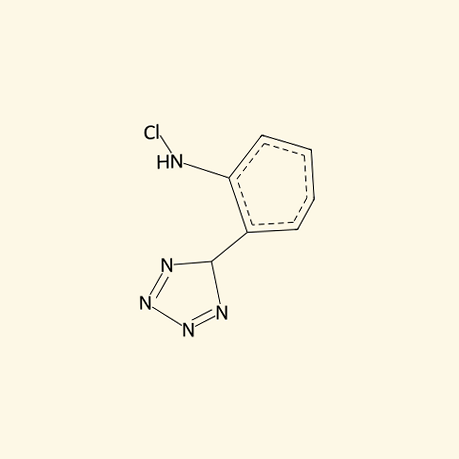 ClNc1ccccc1C1N=NN=N1